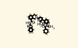 Cc1c(-c2ccc(N3CCc4cccc(C(=O)Nc5nc6ccccc6s5)c4C3)nc2C(=O)O)cccc1N(C)C(=O)C1CCCCC1